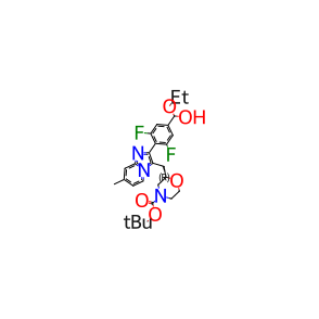 CCOC(O)c1cc(F)c(-c2nc3cc(C)ccn3c2C[C@@H]2CN(C(=O)OC(C)(C)C)CCO2)c(F)c1